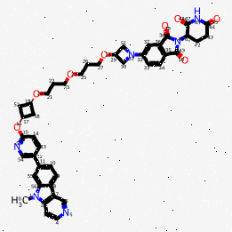 Cn1c2ccncc2c2ccc(-c3ccc(O[C@H]4C[C@@H](OCCCOCCCOC5CN(c6ccc7c(c6)C(=O)N(C6CCC(=O)NC6=O)C7=O)C5)C4)nc3)cc21